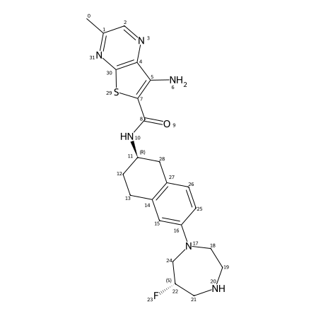 Cc1cnc2c(N)c(C(=O)N[C@@H]3CCc4cc(N5CCNC[C@H](F)C5)ccc4C3)sc2n1